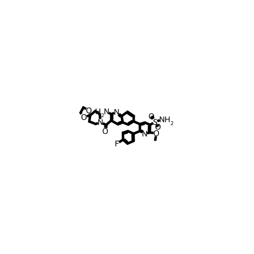 COc1nc(-c2ccc(F)cc2)c(-c2ccc3nc(N)c(C(=O)N4CCC5(CC4)OCCO5)cc3c2)cc1S(N)(=O)=O